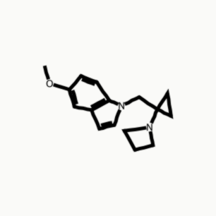 COc1ccc2c(ccn2CC2(N3CCC3)CC2)c1